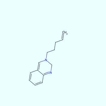 C=CCCCN1C=c2ccccc2=NC1